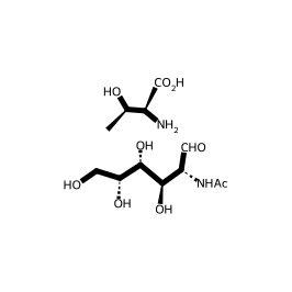 CC(=O)N[C@@H](C=O)[C@@H](O)[C@@H](O)[C@H](O)CO.C[C@@H](O)[C@H](N)C(=O)O